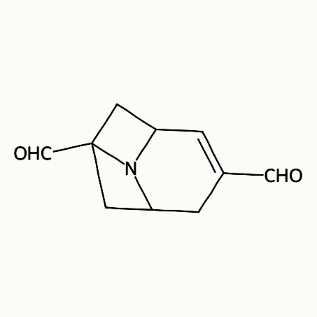 O=CC1=CC2CC3(C=O)CC(C1)N23